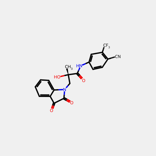 C[C@](O)(CN1C(=O)C(=O)c2ccccc21)C(=O)Nc1ccc(C#N)c(C(F)(F)F)c1